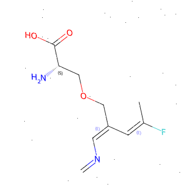 C=N/C=C(\C=C(/C)F)COC[C@H](N)C(=O)O